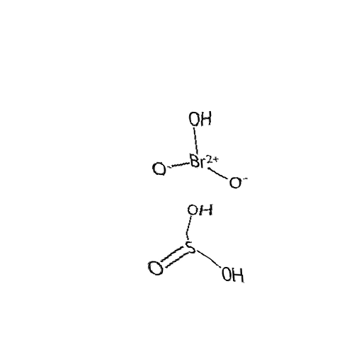 O=S(O)O.[O-][Br+2]([O-])O